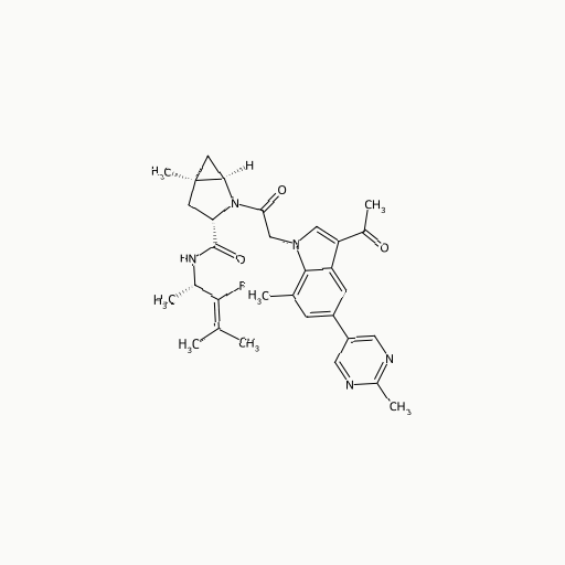 CC(=O)c1cn(CC(=O)N2[C@H](C(=O)N[C@@H](C)C(F)=C(C)C)C[C@@]3(C)C[C@@H]23)c2c(C)cc(-c3cnc(C)nc3)cc12